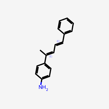 C/C(=C\C=C\c1ccccc1)c1ccc(N)cc1